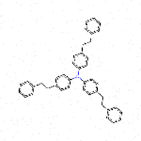 c1ccc(CCc2ccc(N(c3ccc(CCc4ccccc4)cc3)c3ccc(CCc4ccccc4)cc3)cc2)cc1